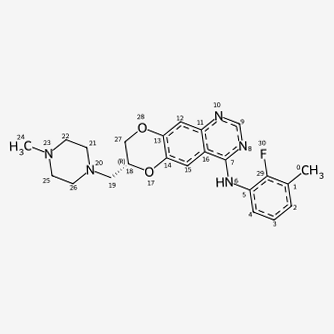 Cc1cccc(Nc2ncnc3cc4c(cc23)O[C@H](CN2CCN(C)CC2)CO4)c1F